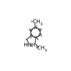 Cc1ccc2c(c1)CN[C@@H]2C